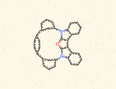 c1ccc2c(c1)c1c3c4ccccc4n4c5cccc(c5)c5ccc(cc5)c5cccc(c5)n2c1oc34